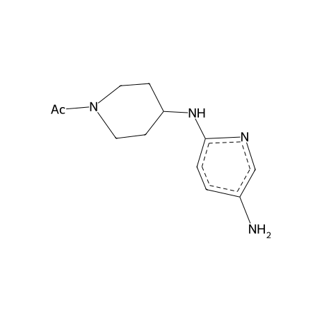 CC(=O)N1CCC(Nc2ccc(N)cn2)CC1